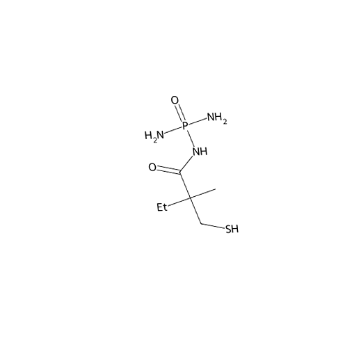 CCC(C)(CS)C(=O)NP(N)(N)=O